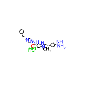 Cl.Cl.Cn1c(CCc2ccc(C(=N)N)cc2)nc2cc(C(=O)NN3CCN(CC=Cc4ccccc4)CC3)ccc21